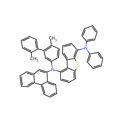 Cc1ccccc1-c1cc(N(c2cc3ccccc3c3ccccc23)c2cccc3sc4c(N(c5ccccc5)c5ccccc5)cccc4c23)ccc1C